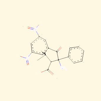 CC(C)(C)C(C(=O)O)C(N)(C(=O)c1cc([N+](=O)[O-])cc([N+](=O)[O-])c1)c1ccccc1